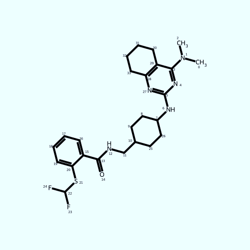 CN(C)c1nc(NC2CCC(CNC(=O)c3ccccc3SC(F)F)CC2)nc2c1CCCC2